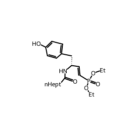 CCCCCCCC(=O)N[C@@H](/C=C/P(=O)(OCC)OCC)Cc1ccc(O)cc1